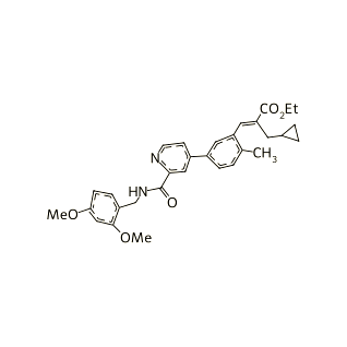 CCOC(=O)/C(=C/c1cc(-c2ccnc(C(=O)NCc3ccc(OC)cc3OC)c2)ccc1C)CC1CC1